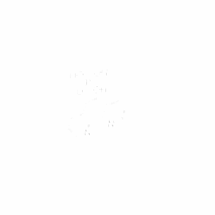 O=P(O)(O)O.c1cnc2c(c1)ccc1cccnc12